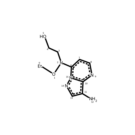 CCON(CCO)c1ccnc2c(N)cnn12